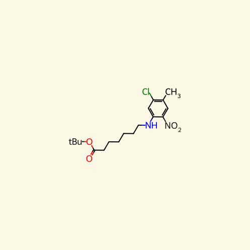 Cc1cc([N+](=O)[O-])c(NCCCCCCC(=O)OC(C)(C)C)cc1Cl